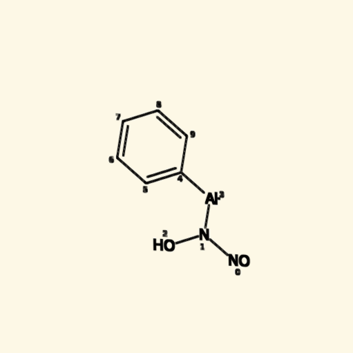 O=N[N](O)[Al][c]1ccccc1